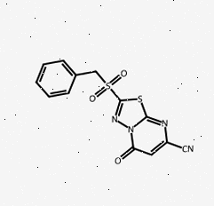 N#Cc1cc(=O)n2nc(S(=O)(=O)Cc3ccccc3)sc2n1